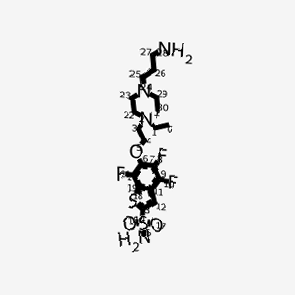 CC[N+]1(CCOc2c(F)c(F)c3cc(S(N)(=O)=O)sc3c2F)CCN(CCCN)CC1